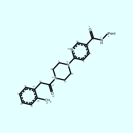 CCCC(C)NC(=O)c1ccc(N2CCN(C(=O)Cc3ccccc3C)CC2)nc1